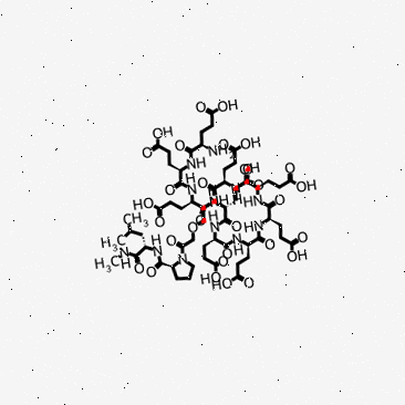 CNC(=O)[C@H](CC(C)C)NC(=O)[C@@H]1CCCN1C(=O)COCCNC(=O)[C@@H](CCC(=O)O)NC(=O)[C@@H](CCC(=O)O)NC(=O)[C@@H](CCC(=O)O)NC(=O)[C@@H](CCC(=O)O)NC(=O)[C@@H](CCC(=O)O)NC(=O)[C@@H](CCC(=O)O)NC(=O)[C@@H](CCC(=O)O)NC(=O)[C@@H](CCC(=O)O)NC(=O)[C@H](N)CCC(=O)O